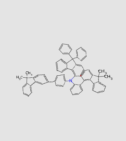 CC1(C)c2ccccc2-c2cc(-c3ccc(N(c4ccccc4-c4cccc5c4-c4ccccc4C5(C)C)c4cccc5c4-c4ccccc4C5(c4ccccc4)c4ccccc4)cc3)ccc21